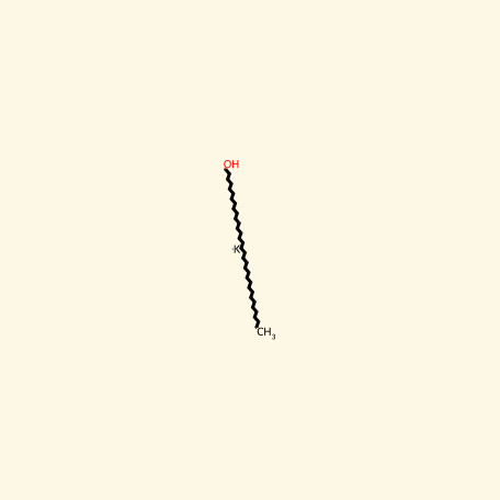 CCCCCCCCCCCCCCCCCCCCCCCCCCCCCCCCCCO.[K]